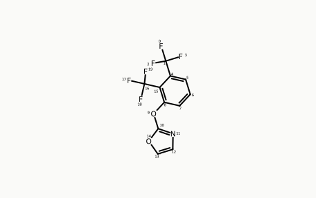 FC(F)(F)c1cccc(Oc2nc[c]o2)c1C(F)(F)F